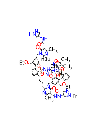 CCCCc1nc(C)c(CC(=O)Nc2cn[nH]c2)c(=O)n1Cc1ccc(-c2cccc(CCCCc3nc(C)c(CC(=O)Nc4cnn(C(C)C)c4)c(=O)n3Cc3ccc(-c4ccccc4S(=O)(=O)Nc4noc(C)c4C)c(COCC)c3)c2S(=O)(=O)Nc2noc(C)c2C)c(COCC)c1